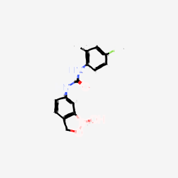 O=C(Nc1ccc2c(c1)B(O)OC2)Nc1ccc(F)cc1C(F)(F)F